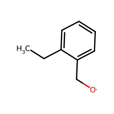 CCc1ccccc1C[O]